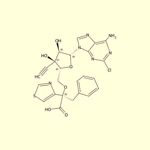 C#C[C@@]1(O)[C@@H](CO[C@@](Cc2ccccc2)(C(=O)O)c2cscn2)O[C@@H](n2cnc3c(N)nc(Cl)nc32)[C@@H]1O